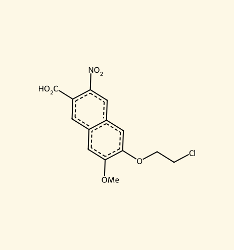 COc1cc2cc(C(=O)O)c([N+](=O)[O-])cc2cc1OCCCl